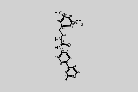 Cc1cc(-c2ccc(NC(=O)NCCc3cc(C(F)(F)F)cc(C(F)(F)F)c3)cc2)ccn1